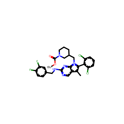 Cc1c(-c2c(Cl)cccc2Cl)n(CC2CCCN(C(=O)OC(C)(C)C)C2)c2nc(NCc3ccc(F)c(F)c3)ncc12